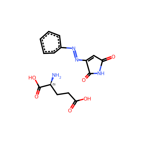 N[C@@H](CCC(=O)O)C(=O)O.O=C1C=C(N=Nc2ccccc2)C(=O)N1